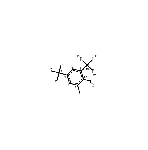 Cc1cc(C(C)(C)C)cc(C(F)(F)F)c1Cl